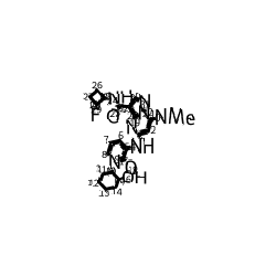 CNc1cc(Nc2cccn([C@H]3CCCC[C@H]3O)c2=O)nc2c(C(=O)N[C@H]3CC[C@@H]3F)cnn12